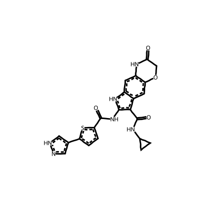 O=C1COc2cc3c(C(=O)NC4CC4)c(NC(=O)c4ccc(-c5cn[nH]c5)s4)[nH]c3cc2N1